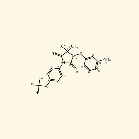 CC1(C)C(=O)N(c2ccc(CC(F)(F)F)cc2)C(=O)N1Cc1ccnc(N)c1